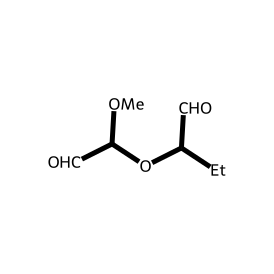 CCC(C=O)OC(C=O)OC